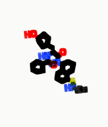 CC(C)(C)NSc1cccc2c(NC(=O)[C@H](Cc3ccc(O)cc3)NC(=O)c3ccccc3)cccc12